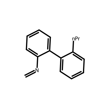 C=Nc1ccccc1-c1ccccc1CCC